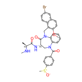 CN[C@@H](C)C(=O)N[C@H]1CN(C(=O)c2ccc([S+](C)[O-])cc2)c2ccccc2N(Cc2c(OC)ccc3cc(Br)ccc23)C1=O